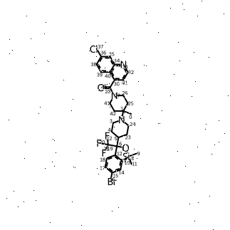 CC1(N2CCC(C(O[Si](C)(C)C)(c3ccc(Br)cc3)C(F)(F)F)CC2)CCN(C(=O)c2ccnc3cc(Cl)ccc23)CC1